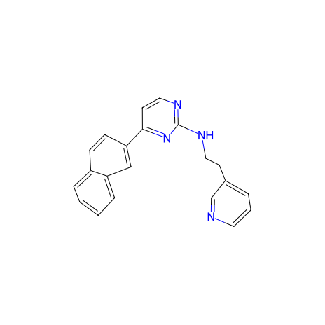 c1cncc(CCNc2nccc(-c3ccc4ccccc4c3)n2)c1